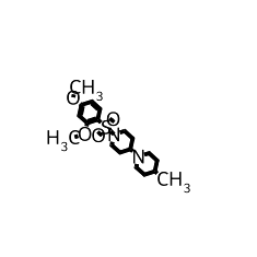 COc1ccc(S(=O)(=O)N2CCC(N3CCC(C)CC3)CC2)c(OC)c1